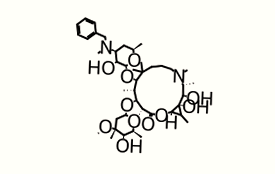 CO[C@]1(C)C[C@H](O[C@H]2[C@H](C)[C@@H](O[C@@H]3O[C@H](C)C[C@H](N(C)Cc4ccccc4)[C@H]3O)C(C)(C)CCCN(C)[C@H](C)[C@@H](O)[C@@]3(O)C(C)[C@H]3OC(=O)[C@@H]2C)O[C@@H](C)[C@@H]1O